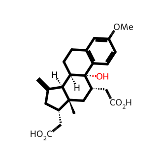 C=C1C[C@@H](CC(=O)O)[C@@]2(C)C[C@@H](CC(=O)O)[C@]3(O)c4ccc(OC)cc4CC[C@@H]3[C@H]12